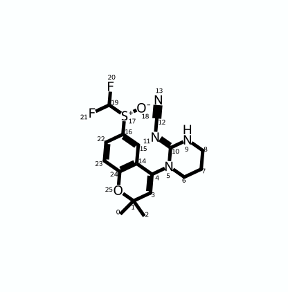 CC1(C)C=C(N2CCCNC2=NC#N)c2cc([S+]([O-])C(F)F)ccc2O1